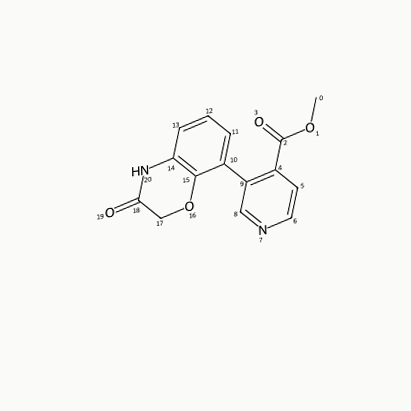 COC(=O)c1ccncc1-c1cccc2c1OCC(=O)N2